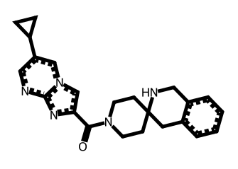 O=C(c1cn2cc(C3CC3)cnc2n1)N1CCC2(CC1)Cc1ccccc1CN2